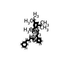 CC(C)c1cc(C(C)C)c(SNCC(NC(=O)CCCC2=CCC=CC2)c2ccccc2)c(C(C)C)c1